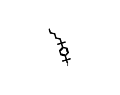 CCCCCC(C)(C)c1ccc(C(C)(C)I)cc1